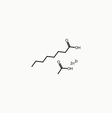 CC(=O)O.CCCCCCCC(=O)O.[Zn].[Zr]